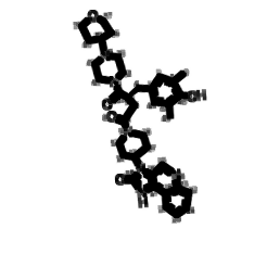 Cc1cc(C[C@@H](CC(=O)N2CCC(n3c(=O)[nH]c4c5ccccc5ncc43)CC2)C(=O)N2CCN(C3CCOCC3)CC2)cc(C)c1O